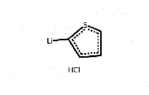 Cl.[Li][c]1cccs1